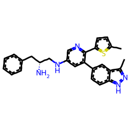 Cc1ccc(-c2ncc(NC[C@H](N)Cc3ccccc3)cc2-c2ccc3[nH]nc(C)c3c2)s1